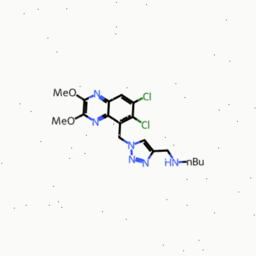 CCCCNCc1cn(Cc2c(Cl)c(Cl)cc3nc(OC)c(OC)nc23)nn1